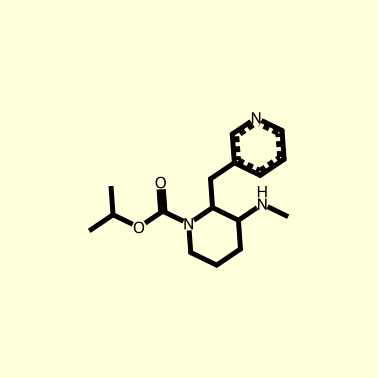 CNC1CCCN(C(=O)OC(C)C)C1Cc1cccnc1